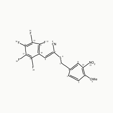 COc1ccc(CSC(C#N)=Cc2c(F)c(F)c(F)c(F)c2F)cc1[N+](=O)[O-]